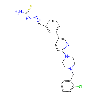 NC(=S)N/N=C/c1cccc(-c2ccc(N3CCN(Cc4ccccc4Cl)CC3)nc2)c1